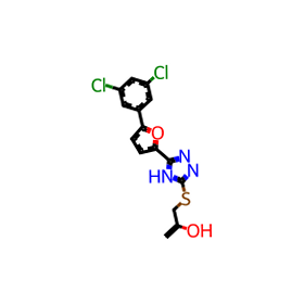 C=C(O)CSc1nnc(-c2ccc(-c3cc(Cl)cc(Cl)c3)o2)[nH]1